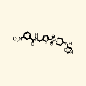 O=C(NCc1ccc(S(=O)(=O)N2CCC(Nc3cnco3)CC2)s1)c1cccc([N+](=O)[O-])c1